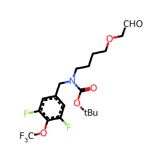 CC(C)(C)OC(=O)N(CCCCOCC=O)Cc1cc(F)c(OC(F)(F)F)c(F)c1